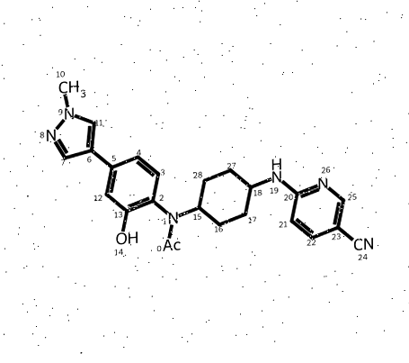 CC(=O)N(c1ccc(-c2cnn(C)c2)cc1O)C1CCC(Nc2ccc(C#N)cn2)CC1